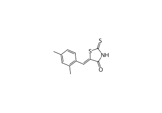 Cc1ccc(/C=C2\SC(=S)NC2=O)c(C)c1